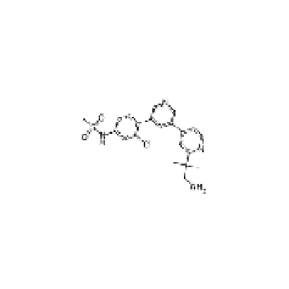 CC(C)(CN)c1cc(-c2cncc(-c3ccc(NS(C)(=O)=O)cc3Cl)c2)ccn1